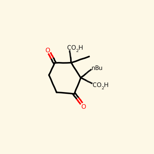 CCCCC1(C(=O)O)C(=O)CCC(=O)C1(C)C(=O)O